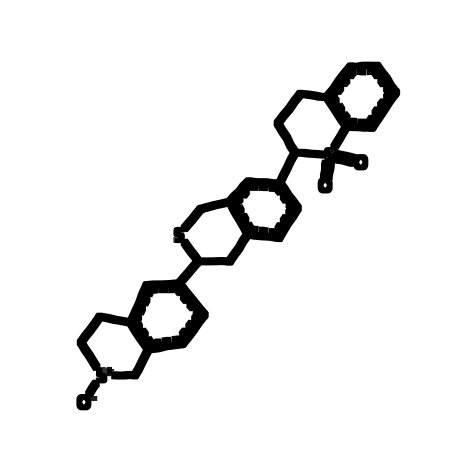 O=S1(=O)c2ccccc2CCC1c1ccc2c(c1)CSC(c1ccc3c(c1)CC[S+]([O-])C3)C2